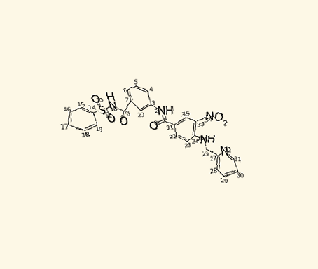 O=C(Nc1cccc(C(=O)NS(=O)(=O)c2ccccc2)c1)c1ccc(NCc2ccccn2)c([N+](=O)[O-])c1